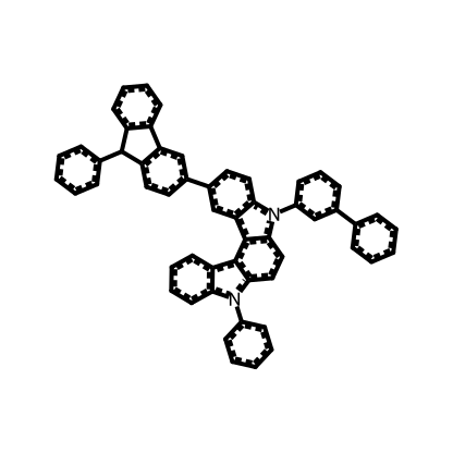 c1ccc(-c2cccc(-n3c4ccc(-c5ccc6c(c5)-c5ccccc5C6c5ccccc5)cc4c4c5c6ccccc6n(-c6ccccc6)c5ccc43)c2)cc1